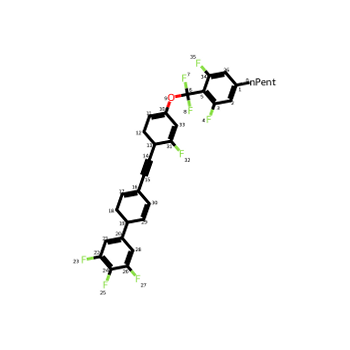 CCCCCc1cc(F)c(C(F)(F)OC2=CCC(C#CC3=CCC(c4cc(F)c(F)c(F)c4)C=C3)C(F)=C2)c(F)c1